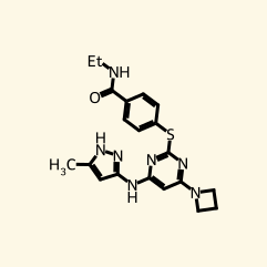 CCNC(=O)c1ccc(Sc2nc(Nc3cc(C)[nH]n3)cc(N3CCC3)n2)cc1